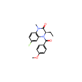 CC[C@@H]1C(=O)N(C)c2ccc(F)cc2N1C(=O)c1ccc(OC)cc1